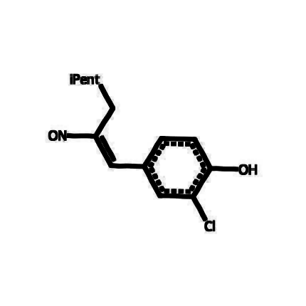 CCCC(C)C/C(=C\c1ccc(O)c(Cl)c1)N=O